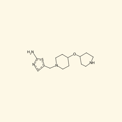 Nc1ncc(CN2CCC(OC3CCNCC3)CC2)s1